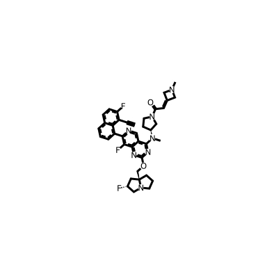 C#Cc1c(F)ccc2cccc(-c3ncc4c(N(C)[C@@H]5CCN(C(=O)C=C6CN(C)C6)C5)nc(OC[C@@]56CCCN5C[C@H](F)C6)nc4c3F)c12